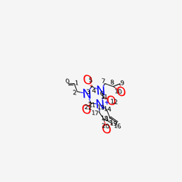 C=CCN1C(=O)N(CC2CO2)C(=O)[N+](CC=C)(CC2CO2)C1=O